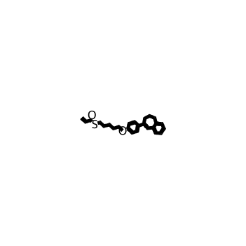 C=CC(=O)SCCCCCOc1ccc(C2=Cc3ccccc3CCC2)cc1